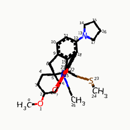 COC1CCC2(CC1)Cc1ccc(N3CCCC3)cc1C21N=C(SC)N(C)C1=O